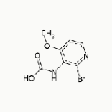 COc1ccnc(Br)c1NC(=O)O